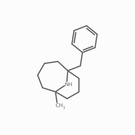 CC12CCCCC(Cc3ccccc3)(CCC1)N2